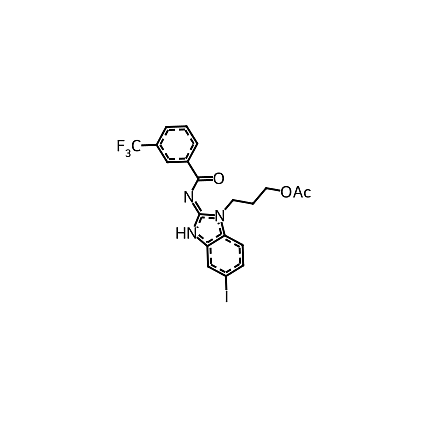 CC(=O)OCCCn1c(=NC(=O)c2cccc(C(F)(F)F)c2)[nH]c2cc(I)ccc21